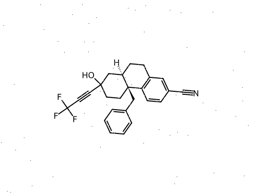 N#Cc1ccc2c(c1)CC[C@@H]1CC(O)(C#CC(F)(F)F)CC[C@@]21Cc1ccccc1